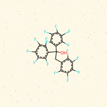 OC([CH]c1c(F)c(F)c(F)c(F)c1F)(c1c(F)c(F)c(F)c(F)c1F)c1c(F)c(F)c(F)c(F)c1F